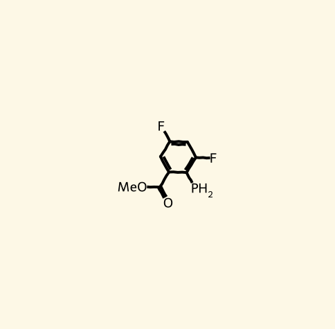 COC(=O)c1cc(F)cc(F)c1P